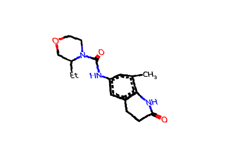 CCC1COCCN1C(=O)Nc1cc(C)c2c(c1)CCC(=O)N2